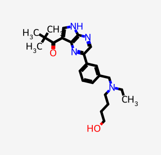 CCN(CCCCO)Cc1cccc(-c2cnc3[nH]cc(C(=O)C(C)(C)C)c3n2)c1